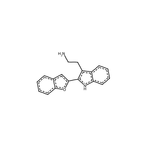 NCCc1c(-c2cc3ccccc3o2)[nH]c2ccccc12